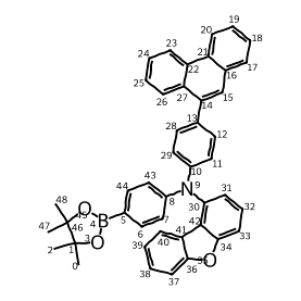 CC1(C)OB(c2ccc(N(c3ccc(-c4cc5ccccc5c5ccccc45)cc3)c3cccc4oc5ccccc5c34)cc2)OC1(C)C